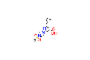 CCCc1cc(C(=O)O)cc(N2CCN(S(=O)(=O)C3CC3)CC2)n1